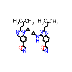 CC(C)CCC1N=Cc2cc(-c3cnco3)ccc2N1C1CC1.CC(C)CCc1nc(NC2CC2)c2cc(-c3cnco3)ccc2n1